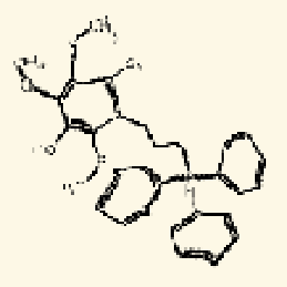 COc1c(O)c(OC)c(OC)c(C)c1CCC[PH](c1ccccc1)(c1ccccc1)c1ccccc1